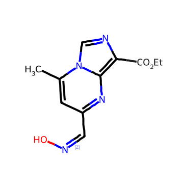 CCOC(=O)c1ncn2c(C)cc(/C=N\O)nc12